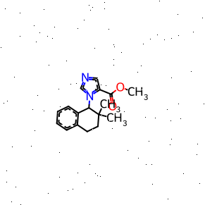 COC(=O)c1cncn1C1c2ccccc2CCC1(C)C